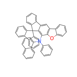 c1ccc(N(c2cccc3ccccc23)c2c3c(cc4c2oc2ccccc24)-c2ccccc2C32c3ccccc3-c3ccccc32)cc1